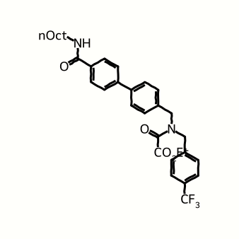 CCCCCCCCNC(=O)c1ccc(-c2ccc(CN(Cc3ccc(C(F)(F)F)cc3)C(=O)C(=O)OCC)cc2)cc1